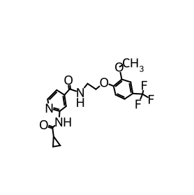 COc1cc(C(F)(F)F)ccc1OCCNC(=O)c1ccnc(NC(=O)C2CC2)c1